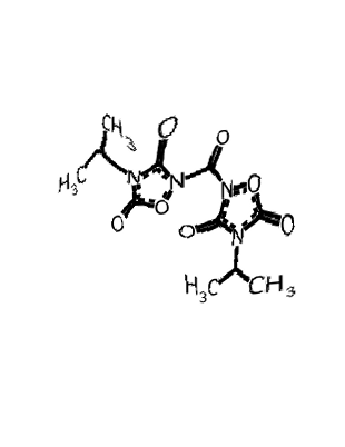 CC(C)n1c(=O)on(C(=O)n2oc(=O)n(C(C)C)c2=O)c1=O